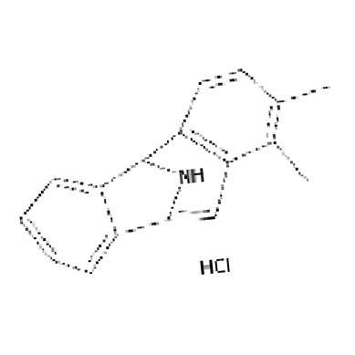 Cc1ccc2c(c1C)C=C1NC2c2ccccc21.Cl